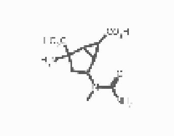 CN(C(N)=O)C1CC(N)(C(=O)O)C2C(C(=O)O)C12